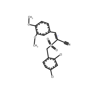 COc1ccc(/C=C(/C#N)S(=O)(=O)Cc2ccc(Cl)cc2Cl)cc1OC